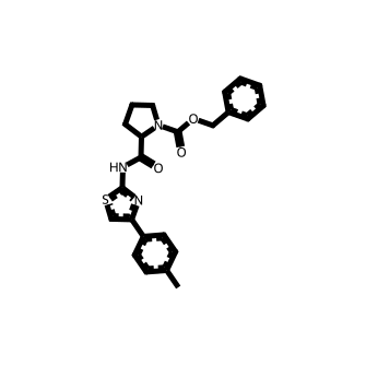 Cc1ccc(-c2csc(NC(=O)C3CCCN3C(=O)OCc3ccccc3)n2)cc1